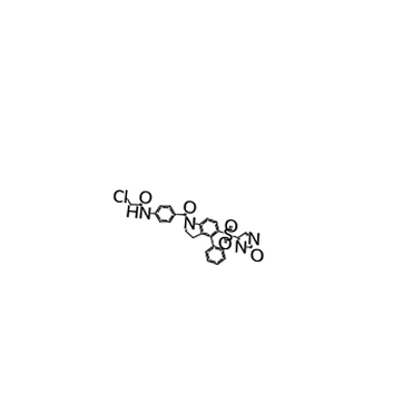 O=C1N=CC(S(=O)(=O)c2ccc3c(c2-c2ccccc2)CCN3C(=O)c2ccc(NC(=O)CCl)cc2)=N1